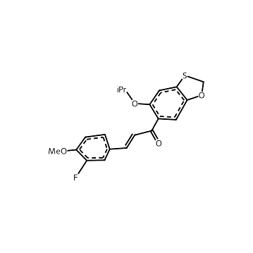 COc1ccc(C=CC(=O)c2cc3c(cc2OC(C)C)SCO3)cc1F